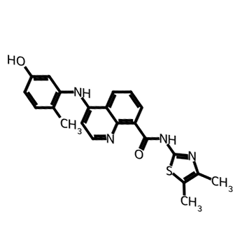 Cc1ccc(O)cc1Nc1ccnc2c(C(=O)Nc3nc(C)c(C)s3)cccc12